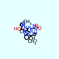 C[C@@H](Nc1nc(-c2noc(=O)[nH]2)nc2nc(C(C)(O)c3ccn(C)n3)n(C[C@H]3CC[C@H](C)CC3)c12)C1CCC1